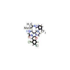 COCC(C)NCc1cccc(C(F)(F)F)c1N1CCN(C(=O)C(Cc2ccc(Cl)cc2Cl)N2CCNCC2=O)CC1